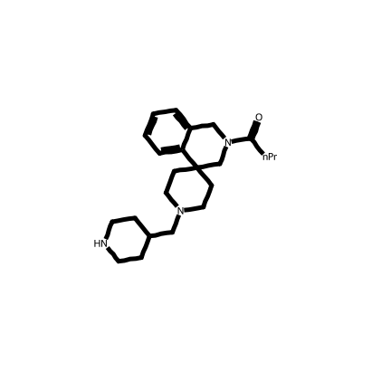 CCCC(=O)N1Cc2ccccc2C2(CCN(CC3CCNCC3)CC2)C1